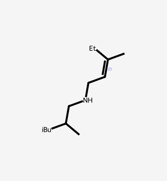 CC/C(C)=C\CNCC(C)C(C)CC